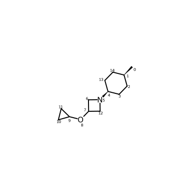 C[C@H]1CC[C@@H](N2CC(OC3CC3)C2)CC1